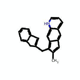 Cc1cc2cc3ccc[nH]c3cc2c1CC1=Cc2ccccc2C1